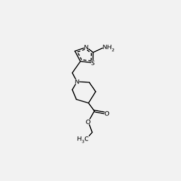 CCOC(=O)C1CCN(Cc2cnc(N)s2)CC1